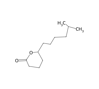 CC(C)CCCCC1CCCC(=O)O1